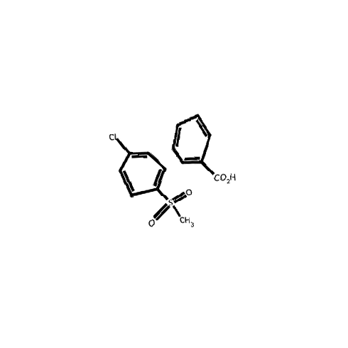 CS(=O)(=O)c1ccc(Cl)cc1.O=C(O)c1ccccc1